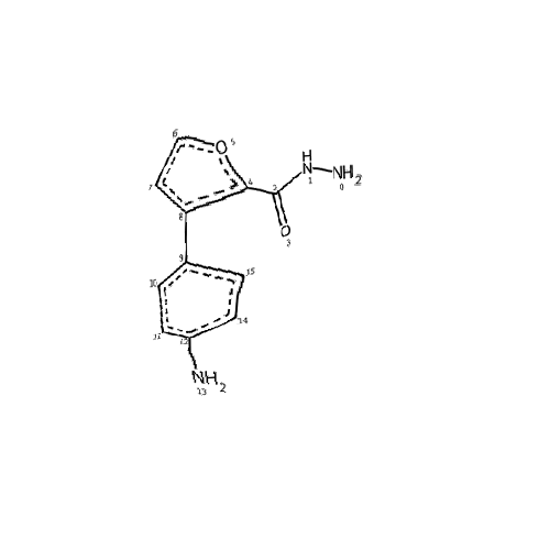 NNC(=O)c1occc1-c1ccc(N)cc1